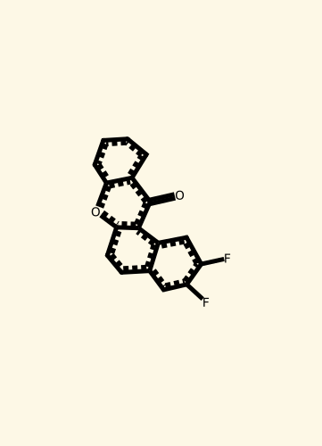 O=c1c2ccccc2oc2ccc3cc(F)c(F)cc3c12